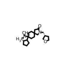 CN(C)C1(C2CCCC2)CCC2(CC1)CC(=O)N(C[C@@H]1CCOC1)C2